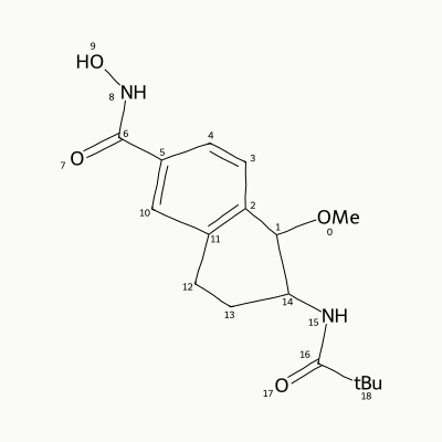 COC1c2ccc(C(=O)NO)cc2CCC1NC(=O)C(C)(C)C